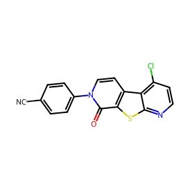 N#Cc1ccc(-n2ccc3c(sc4nccc(Cl)c43)c2=O)cc1